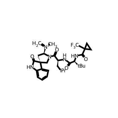 C=[N+](C)[C@@H]1C[C@@]2(CN1C(=O)[C@H](CC(C)C)NC(=O)[C@@H](NC(=O)C1(C(F)(F)F)CC1)C(C)(C)C)C(=O)Nc1ccccc12